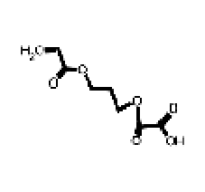 C=CC(=O)OCCCOC(=O)C(=O)O